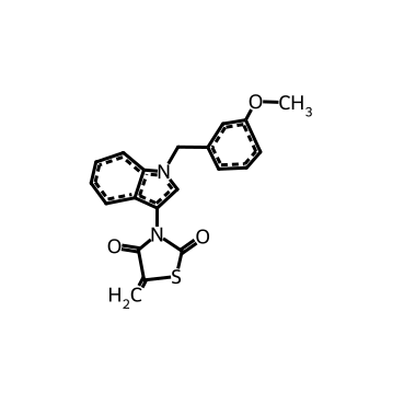 C=C1SC(=O)N(c2cn(Cc3cccc(OC)c3)c3ccccc23)C1=O